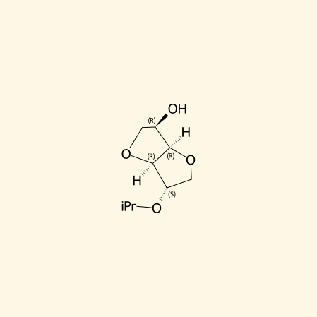 CC(C)O[C@H]1CO[C@H]2[C@@H]1OC[C@H]2O